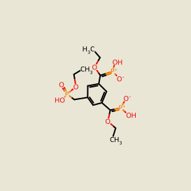 CCO/C(c1cc(CP(=O)(O)OCC)cc(/C(OCC)=[P+](\[O-])O)c1)=[P+](/[O-])O